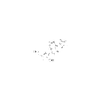 OC[C@@H]1C[C@@H](O)[C@H](n2cnc3c(-n4cccc4)ncnc32)O1